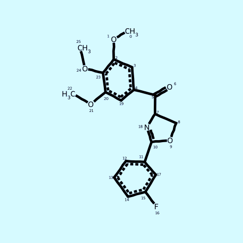 COc1cc(C(=O)C2COC(c3cccc(F)c3)=N2)cc(OC)c1OC